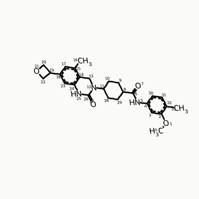 COc1cc(NC(=O)C2CCC(N3Cc4c(C)cc(C5COC5)cc4NC3=O)CC2)ccc1C